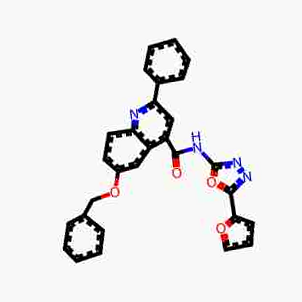 O=C(Nc1nnc(-c2ccco2)o1)c1cc(-c2ccccc2)nc2ccc(OCc3ccccc3)cc12